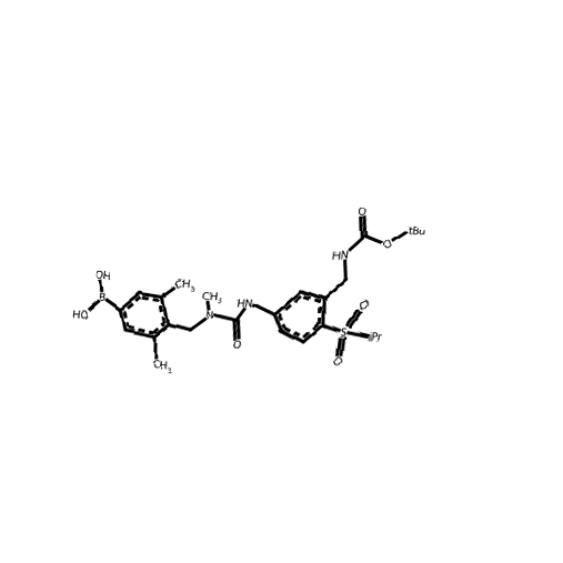 Cc1cc(B(O)O)cc(C)c1CN(C)C(=O)Nc1ccc(S(=O)(=O)C(C)C)c(CNC(=O)OC(C)(C)C)c1